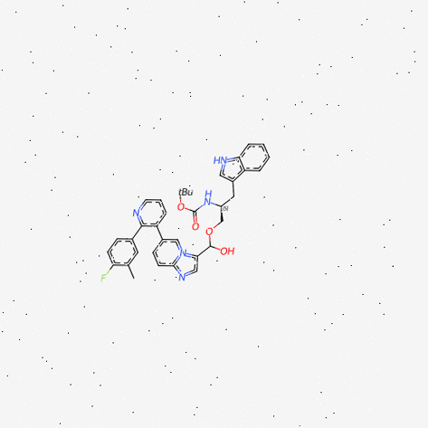 Cc1cc(-c2ncccc2-c2ccc3ncc(C(O)OC[C@H](Cc4c[nH]c5ccccc45)NC(=O)OC(C)(C)C)n3c2)ccc1F